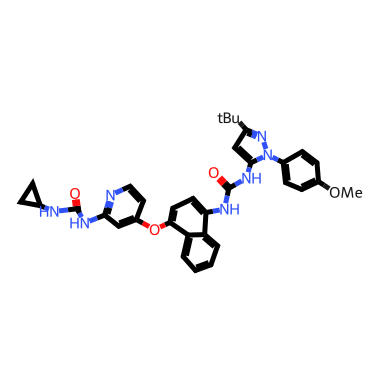 COc1ccc(-n2nc(C(C)(C)C)cc2NC(=O)Nc2ccc(Oc3ccnc(NC(=O)NC4CC4)c3)c3ccccc23)cc1